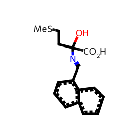 CSCCC(O)(N=Cc1cccc2ccccc12)C(=O)O